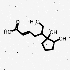 CCC(CC=CC(=O)O)C1(O)CCCC1O